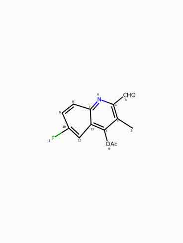 CC(=O)Oc1c(C)c(C=O)nc2ccc(F)cc12